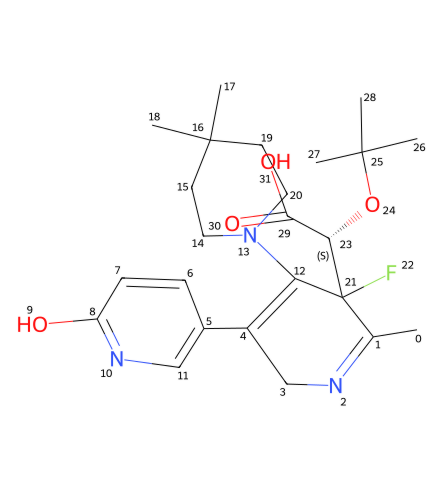 CC1=NCC(c2ccc(O)nc2)=C(N2CCC(C)(C)CC2)C1(F)[C@@H](OC(C)(C)C)C(=O)O